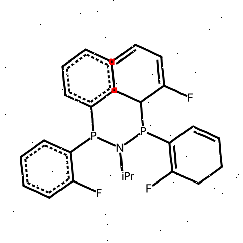 CC(C)N(P(c1ccccc1)c1ccccc1F)P(C1=C(F)CCC=C1)C1CC=CC=C1F